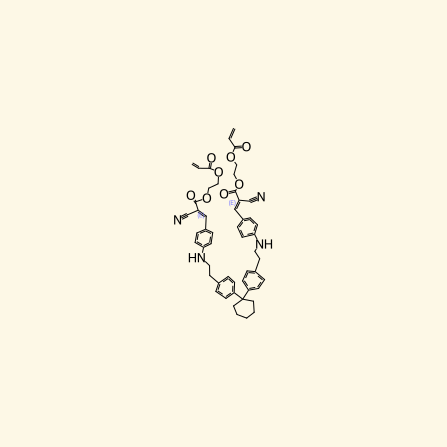 C=CC(=O)OCCOC(=O)/C(C#N)=C/c1ccc(NCCc2ccc(C3(c4ccc(CCNc5ccc(/C=C(\C#N)C(=O)OCCOC(=O)C=C)cc5)cc4)CCCCC3)cc2)cc1